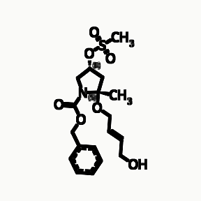 C[C@]1(OCC=CCO)C[C@@H](OS(C)(=O)=O)CN1C(=O)OCc1ccccc1